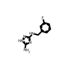 Nc1nc(NCc2cccc(F)c2)n[nH]1